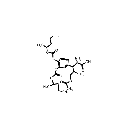 CCCC(C)OC(=O)Oc1ccc(C(C(C)COC(C)=O)[C@H](N)C(=O)O)cc1OC(=O)OC(C)CCC